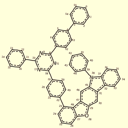 c1ccc(-c2ccc(-c3nc(-c4ccccc4)nc(-c4ccc(-c5cccc6oc7cc8c9ccccc9n(-c9ccccc9)c8cc7c56)cc4)n3)cc2)cc1